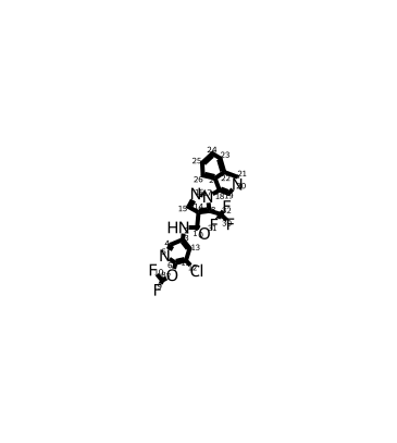 O=C(Nc1cnc(OC(F)F)c(Cl)c1)c1cnn(-c2cncc3ccccc23)c1C(F)(F)F